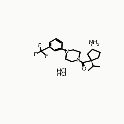 CC(C)[C@]1(C(=O)N2CCN(c3cccc(C(F)(F)F)c3)CC2)CC[C@@H](N)C1.Cl.Cl